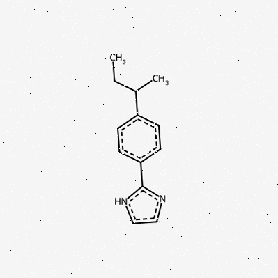 CCC(C)c1ccc(-c2n[c]c[nH]2)cc1